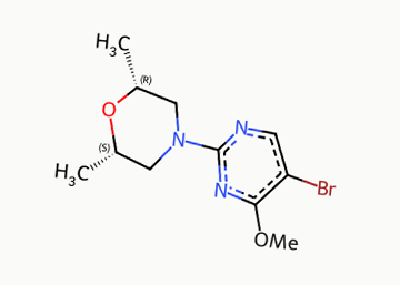 COc1nc(N2C[C@@H](C)O[C@@H](C)C2)ncc1Br